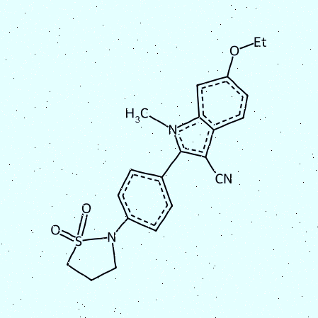 CCOc1ccc2c(C#N)c(-c3ccc(N4CCCS4(=O)=O)cc3)n(C)c2c1